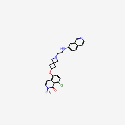 Cn1ccc2c(OC3CC4(C3)CN(CCNc3ccc5ccncc5c3)C4)ccc(Cl)c2c1=O